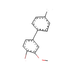 CC(=O)Nc1ccc(-c2ccc(Br)c(OC(F)(F)F)c2)cc1